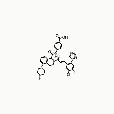 O=C(O)c1ccc(NC(=O)C2c3cccc(N4CCNCC4)c3CCN2C(=O)C=Cc2cc(Cl)c(F)cc2-n2cnnn2)cc1